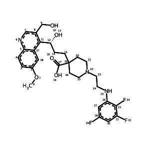 COc1ccc2ncc(CO)c([C@H](O)CCC3(C(=O)O)CCN(CCNc4cc(F)cc(F)c4F)CC3)c2c1